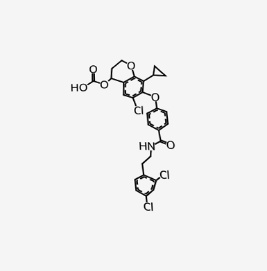 O=C(O)OC1CCOc2c1cc(Cl)c(Oc1ccc(C(=O)NCCc3ccc(Cl)cc3Cl)cc1)c2C1CC1